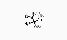 CCCCPC(P)(CCCC)C(CC)CCCC